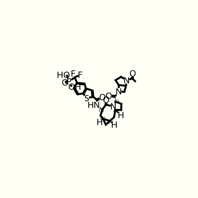 CC(=O)N1CCC2C1CN2C(=O)[C@@H]1CC[C@@H]2C[C@H]3C[C@H]3C[C@H](NC(=O)c3cc4cc(C(F)(F)P(=O)(O)O)ccc4s3)C(=O)N21